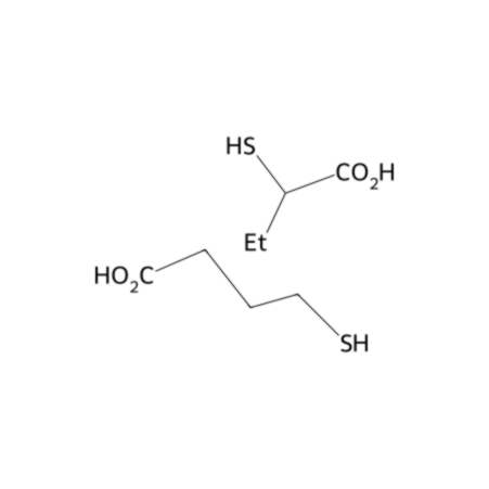 CCC(S)C(=O)O.O=C(O)CCCS